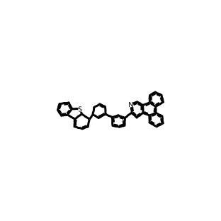 C1=CC(C2C=C(c3cccc(-c4cc5c6ccccc6c6ccccc6c5cn4)c3)C=CC2)C2Sc3ccccc3C2=C1